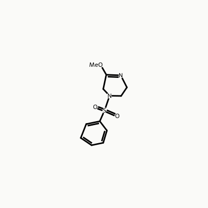 COC1=NCCN(S(=O)(=O)c2ccccc2)C1